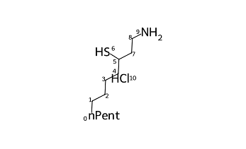 CCCCCCCCCC(S)CCN.Cl